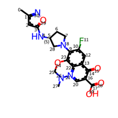 Cc1cc(N[C@H]2CCN(c3c(F)cc4c(=O)c(C(=O)O)cn5c4c3OCN5C)C2)on1